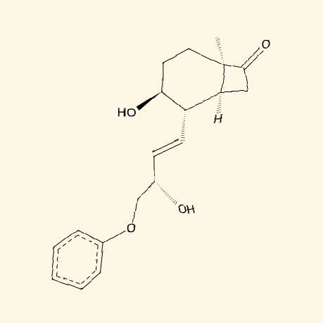 C[C@@]12CC[C@H](O)[C@@H](/C=C/[C@H](O)COc3ccccc3)[C@@H]1CC2=O